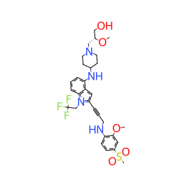 COc1cc(S(C)(=O)=O)ccc1NCC#Cc1cc2c(NC3CCN(C[C@H](CO)OC)CC3)cccc2n1CC(F)(F)F